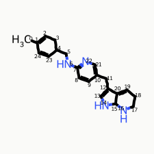 CC1=CCC(CNc2ccc(CC3=CNC4NCCC=C34)cn2)C=C1